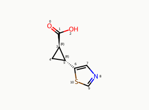 O=C(O)[C@@H]1C[C@H]1c1cncs1